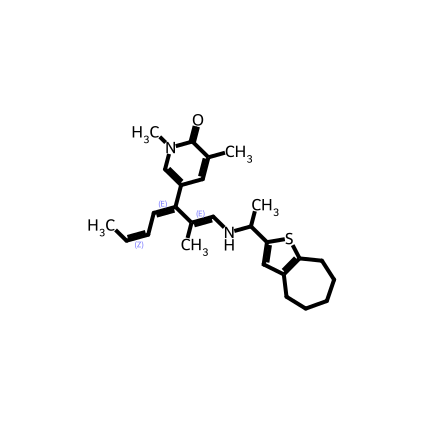 C\C=C/C=C(\C(C)=C\NC(C)c1cc2c(s1)CCCCC2)c1cc(C)c(=O)n(C)c1